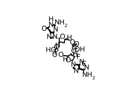 Nc1nc2c(ncn2[C@@H]2O[C@@H]3COP(=O)(O)O[C@H]4[C@H](F)[C@H](n5cnc6c(N)ncnc65)O[C@@H]4COP(=O)(O)O[C@@H]2C3)c(=O)[nH]1